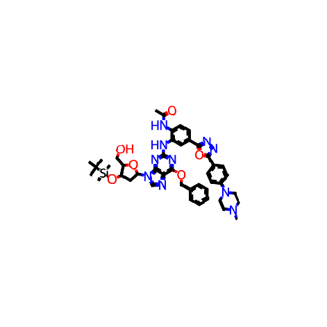 CC(=O)Nc1ccc(-c2nnc(-c3ccc(N4CCN(C)CC4)cc3)o2)cc1Nc1nc(OCc2ccccc2)c2ncn(C3CC(O[Si](C)(C)C(C)(C)C)C(CO)O3)c2n1